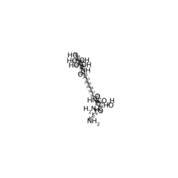 NCCCC[C@H](N)C(=O)C([C]=O)C[C@H](NC(=O)CCCCCCCCCCC(=O)NC[C@H](O)[C@@H](O)[C@H](O)[C@H](O)CO)C(=O)O